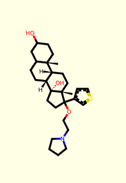 C[C@]12CCC(O)CC1CC[C@@H]1[C@H]2CC[C@]2(C)C(OCCN3CCCC3)(c3ccsc3)CC[C@@]12O